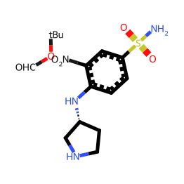 CC(C)(C)OC=O.NS(=O)(=O)c1ccc(N[C@@H]2CCNC2)c([N+](=O)[O-])c1